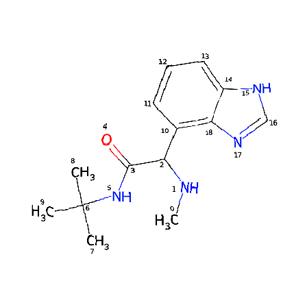 CNC(C(=O)NC(C)(C)C)c1cccc2[nH]cnc12